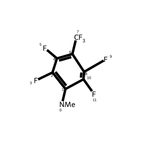 CNc1c(F)c(F)c(C(F)(F)F)c(F)c1F